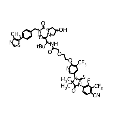 Cc1ncsc1-c1ccc(CNC(=O)[C@@H]2C[C@@H](O)CN2C(=O)[C@@H](NC(=O)COCCOc2ncc(N3C(=S)N(c4ccc(C#N)c(C(F)(F)F)c4F)C(=O)C3(C)C)cc2C(F)(F)F)C(C)(C)C)cc1